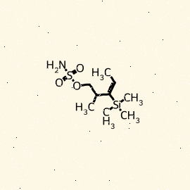 C/C=C(\C(C)COS(N)(=O)=O)[Si](C)(C)C